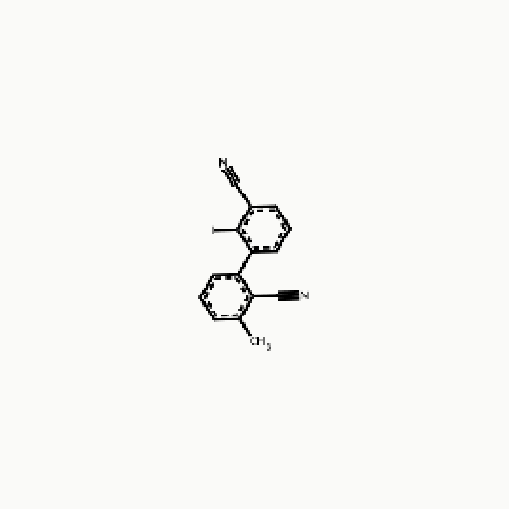 Cc1cccc(-c2cccc(C#N)c2I)c1C#N